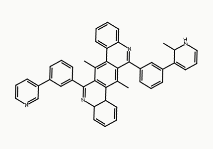 Cc1c2c(c(C)c3c1c(-c1cccc(C4=CC=CNC4C)c1)nc1ccccc13)C(c1cccc(-c3cccnc3)c1)=NC1C=CC=CC21